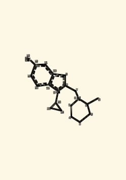 CC1CCCCN1Cc1cc2cc(Br)ccc2n1C1CC1